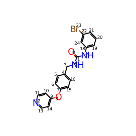 O=C(NCc1ccc(Oc2ccncc2)cc1)Nc1cccc(Br)c1